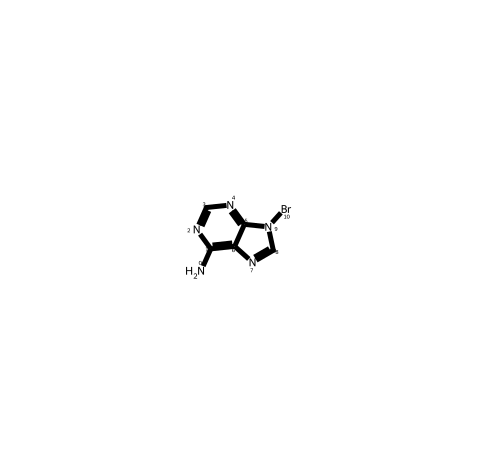 Nc1ncnc2c1ncn2Br